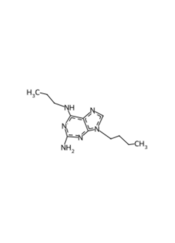 CCCCn1cnc2c(NCCC)nc(N)nc21